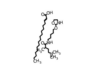 CC(CCN(C)C)C(=O)NCCCCCOC1NCCO1.CCCCCCCCCCCCCCCC=CC(=O)O